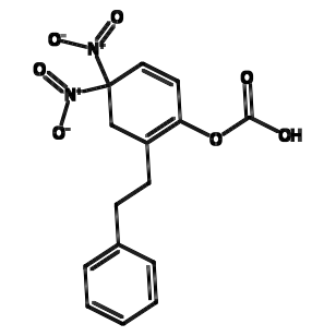 O=C(O)OC1=C(CCc2ccccc2)CC([N+](=O)[O-])([N+](=O)[O-])C=C1